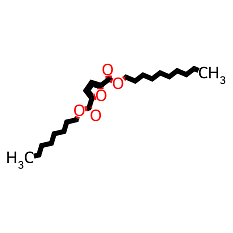 CCCCCCCCCCOC(=O)c1ccc(C(=O)OCCCCCCCC)o1